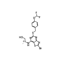 C[C@H](CO)Nc1nc(SCc2ccc(OC(F)F)cc2)nc2nc(Br)sc12